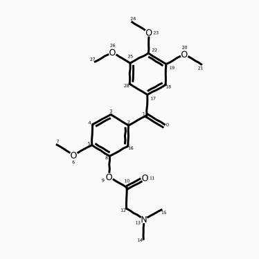 C=C(c1ccc(OC)c(OC(=O)CN(C)C)c1)c1cc(OC)c(OC)c(OC)c1